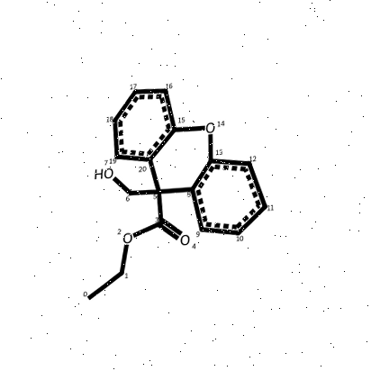 CCOC(=O)C1(CO)c2ccccc2Oc2ccccc21